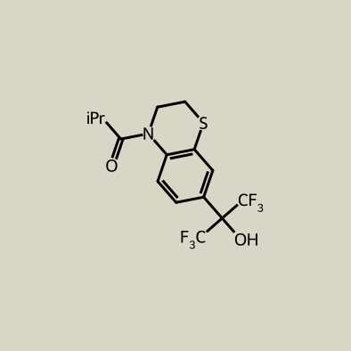 CC(C)C(=O)N1CCSc2cc(C(O)(C(F)(F)F)C(F)(F)F)ccc21